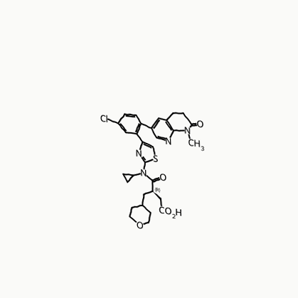 CN1C(=O)CCc2cc(-c3ccc(Cl)cc3-c3csc(N(C(=O)[C@@H](CC(=O)O)CC4CCOCC4)C4CC4)n3)cnc21